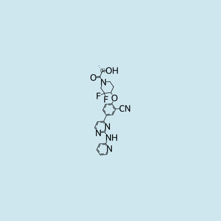 C[C@H](O)C(=O)N1CCC(Oc2ccc(-c3ccnc(Nc4ccccn4)n3)cc2C#N)C(F)(F)C1